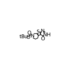 CC(C)(C)OC(=O)N1CCCc2c(sc3nc[nH]c(=O)c23)C1